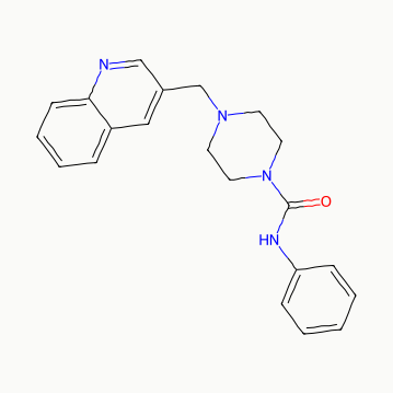 O=C(Nc1ccccc1)N1CCN(Cc2cnc3ccccc3c2)CC1